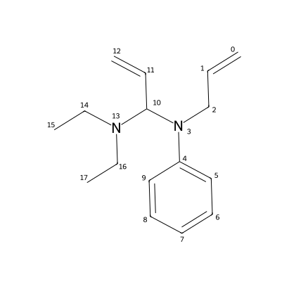 C=CCN(c1ccccc1)C(C=C)N(CC)CC